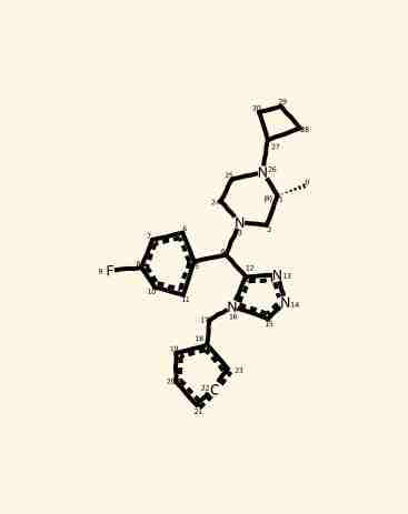 C[C@@H]1CN(C(c2ccc(F)cc2)c2nncn2Cc2ccccc2)CCN1C1CCC1